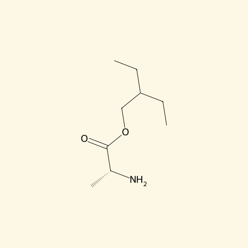 CCC(CC)COC(=O)[C@@H](C)N